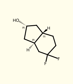 O[C@H]1C[C@@H]2CC(F)(F)CC[C@H]2C1